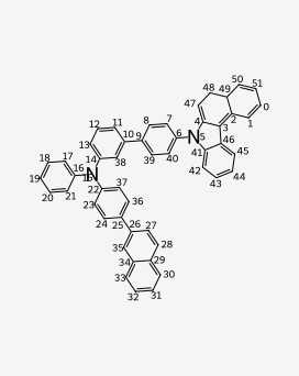 C1=CC2=c3c(n(-c4ccc(-c5cccc(N(c6ccccc6)c6ccc(-c7ccc8ccccc8c7)cc6)c5)cc4)c4ccccc34)=CCC2C=C1